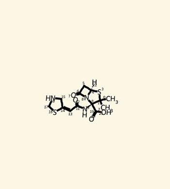 CC1(C)S[C@@H]2CC(=O)N2[C@@]1(NC(=O)C=C1CNCS1)C(=O)O